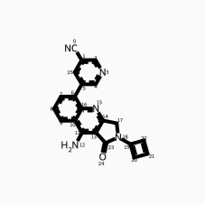 N#Cc1cncc(-c2cccc3c(N)c4c(nc23)CN(C2=CC=C2)C4=O)c1